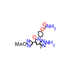 COc1ncc(-c2cc3c(C)nc(N)nc3n([C@H]3CC[C@@H](OCC(N)=O)CC3)c2=O)cn1